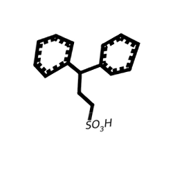 O=S(=O)(O)CCC(c1ccccc1)c1ccccc1